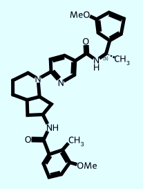 COc1cccc([C@H](C)NC(=O)c2ccc(N3CCCC4CC(NC(=O)c5cccc(OC)c5C)CC43)nc2)c1